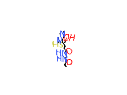 C=CC(=O)NCNC(=O)C=CC(S)(CO)C(CN(C)C)N(C)C